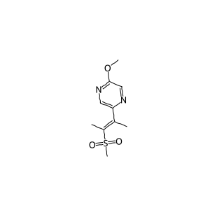 COc1cnc(/C(C)=C(\C)S(C)(=O)=O)cn1